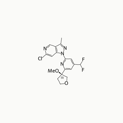 CO[C@]1(c2cc(C(F)F)cc(-n3nc(C)c4cnc(Cl)cc43)n2)CCOC1